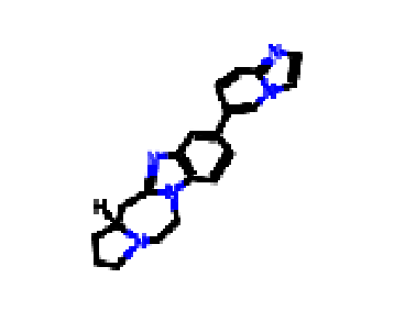 c1cn2cc(-c3ccc4c(c3)nc3n4CCN4CCC[C@@H]4C3)ccc2n1